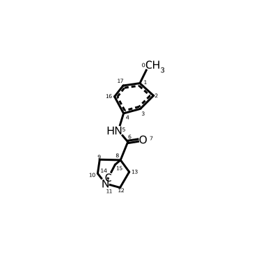 Cc1ccc(NC(=O)C23CCN(CC2)CC3)cc1